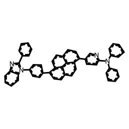 c1ccc(-c2nc3ccccc3n2-c2ccc(-c3ccc4ccc5c(-c6ccc(N(c7ccccc7)c7ccccc7)nc6)ccc6ccc3c4c65)cc2)cc1